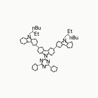 CCCCC(CC)Cn1c2ccccc2c2cc(-c3ccc4c(c3)c3cc(-c5ccc6c(c5)c5ccccc5n6CC(CC)CCCC)ccc3n4-c3nc(-c4ccccc4)nc(-c4ccccc4)n3)ccc21